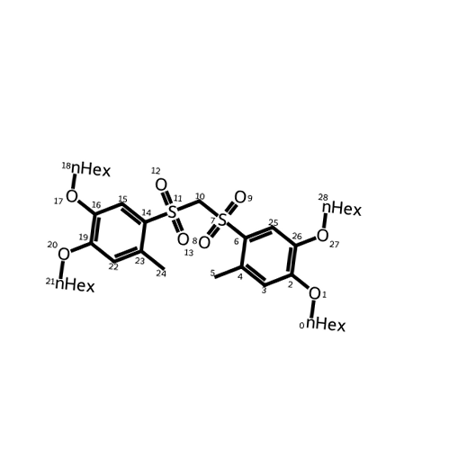 CCCCCCOc1cc(C)c(S(=O)(=O)CS(=O)(=O)c2cc(OCCCCCC)c(OCCCCCC)cc2C)cc1OCCCCCC